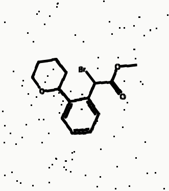 COC(=O)C(Br)c1ccccc1C1CCCCO1